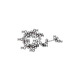 CC(C)(C)OC(=O)NCCCCCC(=O)NCc1cn(CC2OC3OC4C(CO)OC(OC5C(CO)OC(OC6C(CO)OC(OC7C(CO)OC(OC8C(CO)OC(OC9C(CO)OC(OC2C(O)C3O)C(O)C9O)C(O)C8O)C(O)C7O)C(O)C6O)C(O)C5O)C(O)C4O)nn1